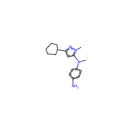 CN(c1ccc(N)cc1)c1cc(C2CCCCC2)nn1C